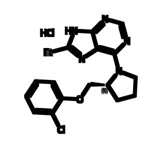 CCc1nc2c(N3CCC[C@@H]3COc3ccccc3Cl)ncnc2[nH]1.Cl